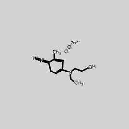 CCN(CCO)C1=CCC(=[N+]=[N-])C(C)=C1.[Cl-].[Cl-].[Zn+2]